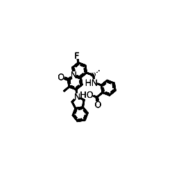 Cc1c(N2Cc3ccccc3C2)cc2c([C@H](C)Nc3ccccc3C(=O)O)cc(F)cn2c1=O